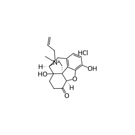 C=CC[N+]1(C)CC[C@]23c4c5ccc(O)c4O[C@H]2C(=O)CCC3(O)[C@H]1C5.Cl